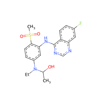 CCN(c1ccc(S(C)(=O)=O)c(Nc2ncnc3cc(F)ccc23)c1)C(C)O